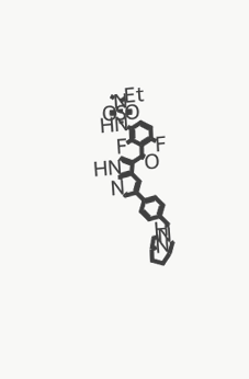 CCN(C)S(=O)(=O)Nc1ccc(F)c(C(=O)c2c[nH]c3ncc(-c4ccc(CN5CC6CCC(C5)N6)cc4)cc23)c1F